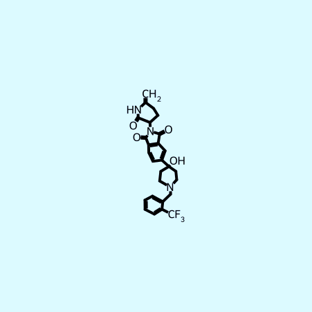 C=C1CCC(N2C(=O)c3ccc(C4(O)CCN(Cc5ccccc5C(F)(F)F)CC4)cc3C2=O)C(=O)N1